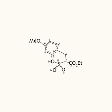 CCOC(=O)C1Cc2ccc(OC)cc2OS1(=O)=O